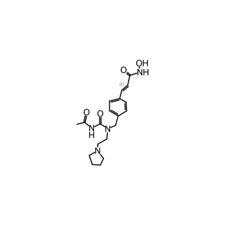 CC(=O)NC(=O)N(CCN1CCCC1)Cc1ccc(/C=C/C(=O)NO)cc1